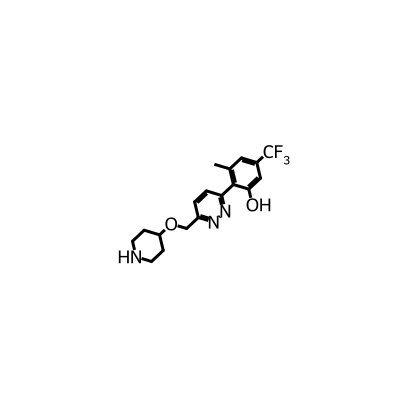 Cc1cc(C(F)(F)F)cc(O)c1-c1ccc(COC2CCNCC2)nn1